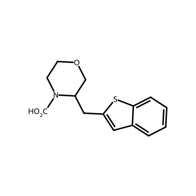 O=C(O)N1CCOCC1Cc1cc2ccccc2s1